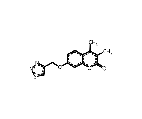 Cc1c(C)c2ccc(OCc3csnn3)cc2oc1=O